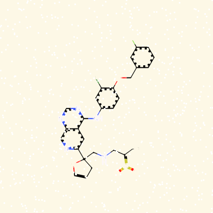 CC(C)C(CNCC1(c2cc3c(Nc4ccc(OCc5cccc(F)c5)c(Cl)c4)ncnc3cn2)CC=CO1)=S(=O)=O